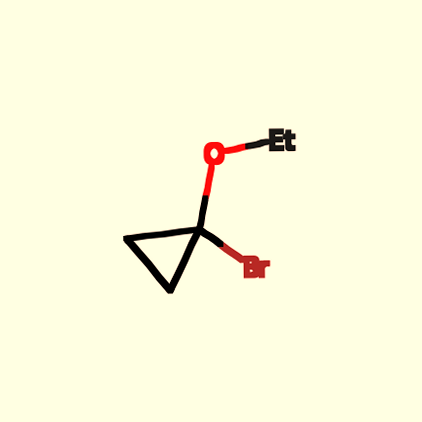 CCOC1(Br)CC1